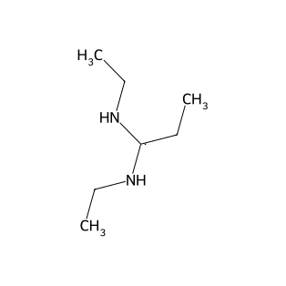 CCN[C](CC)NCC